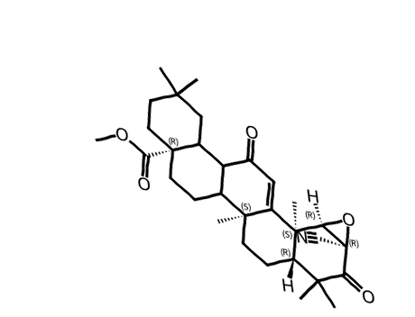 COC(=O)[C@@]12CCC3C(C(=O)C=C4[C@@]5(C)[C@H]6O[C@@]6(C#N)C(=O)C(C)(C)[C@@H]5CC[C@]43C)C1CC(C)(C)CC2